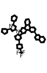 FC(F)(F)c1ccc(-c2ccc3c(c2)c2cc4c5cc(-c6ccc7ccccc7c6)ccc5c5ccccc5c4cc2n3-c2cc(-c3ccccc3)nc(-c3ccccc3)c2)cc1